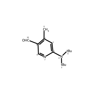 Cc1cc(N(C(C)(C)C)C(C)(C)C)ncc1C=O